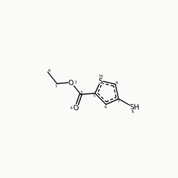 CCOC(=O)c1cc(S)cs1